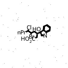 CCCC(Cl)C(Br)CC(CC(=O)O)C1(O)C=Nc2ccccc21